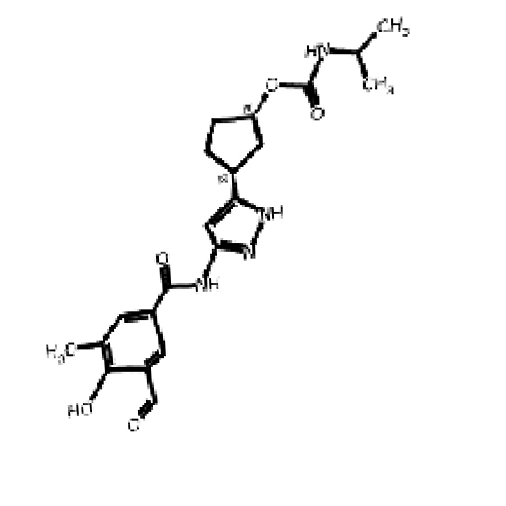 Cc1cc(C(=O)Nc2cc([C@H]3CC[C@@H](OC(=O)NC(C)C)C3)[nH]n2)cc(C=O)c1O